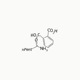 CCCCCC(N)=O.O=C(O)c1ccccc1C(=O)O